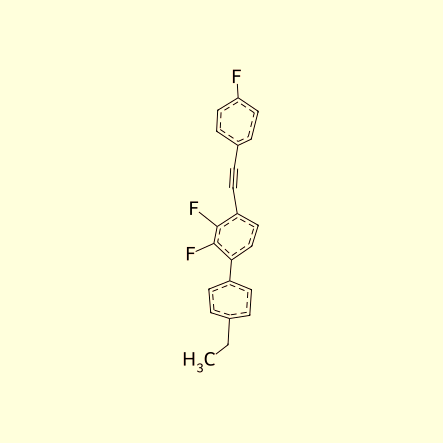 CCc1ccc(-c2ccc(C#Cc3ccc(F)cc3)c(F)c2F)cc1